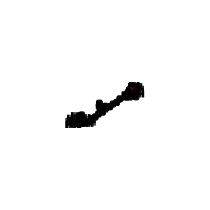 O=C(CCN1C(=O)C=CC1=O)N(CCOCCOCCOCCOCCNC(=S)Nc1ccc(O[C@H]2OC(CCP(=O)(O)O)[C@@H](O)C(O)C2CO)cc1)CCOCCOCCOCCOCCNC(=S)Nc1ccc(O[C@H]2OC(CCP(=O)(O)O)[C@@H](O)C(O)C2CO)cc1